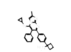 Cc1cn2c(NC3CC3)c(-c3ccccc3)c(-c3ccc(C4(N)CCC4)cc3)nc2n1